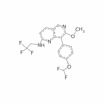 COc1ncc2ccc(NCC(F)(F)F)nc2c1-c1ccc(OC(F)F)cc1